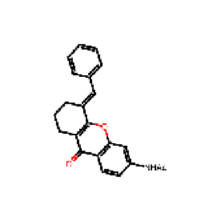 CC(=O)Nc1ccc2c(=O)c3c(oc2c1)C(=Cc1ccccc1)CCC3